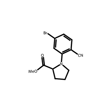 COC(=O)C1CCCN1c1cc(Br)ccc1C#N